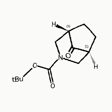 CC(C)(C)OC(=O)N1C[C@@H]2CC[C@@H](C1)C2=O